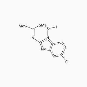 CSC(=Nc1nc2cc(Cl)ccc2n1SI)SC